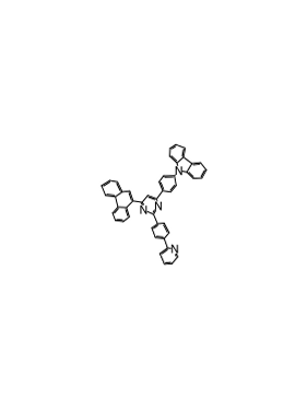 c1ccc(-c2ccc(-c3nc(-c4ccc(-n5c6ccccc6c6ccccc65)cc4)cc(-c4cc5ccccc5c5ccccc45)n3)cc2)nc1